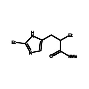 CCc1ncc(CC(CC)C(=O)NC)[nH]1